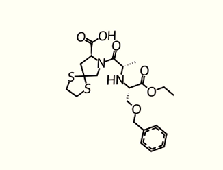 CCOC(=O)[C@H](COCc1ccccc1)N[C@@H](C)C(=O)N1CC2(C[C@H]1C(=O)O)SCCS2